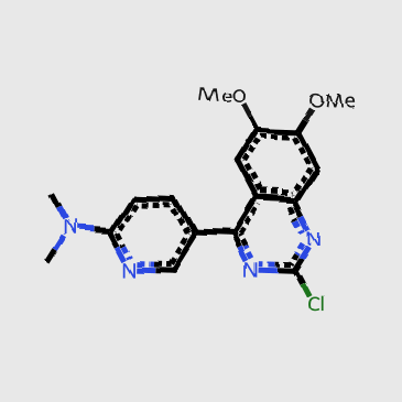 COc1cc2nc(Cl)nc(-c3ccc(N(C)C)nc3)c2cc1OC